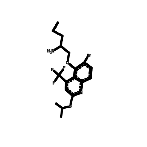 CCCC(N)COc1c(Br)ccc2nc(OC(C)C)cc(C(F)(F)F)c12